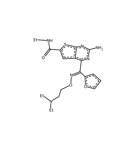 CCNC(=O)c1cc2c(C(=NOCCN(CC)CC)c3ccco3)nc(N)nc2s1